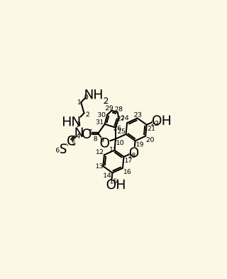 NCCNN=C=S.O=C1OC2(c3ccc(O)cc3Oc3cc(O)ccc32)c2ccccc21